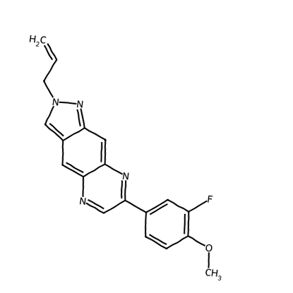 C=CCn1cc2cc3ncc(-c4ccc(OC)c(F)c4)nc3cc2n1